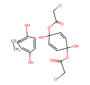 CC(=O)O.O=C(CCl)OC1(O)C=CC(O)(OC(=O)CCl)C=C1.Oc1ccc(O)cc1